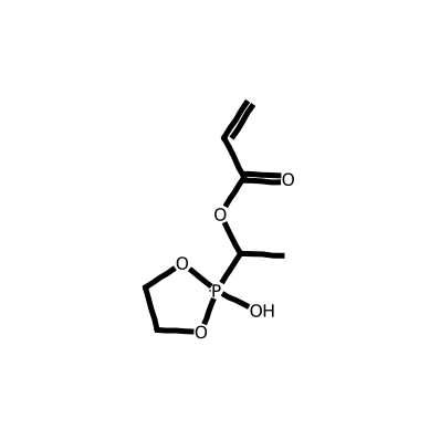 C=CC(=O)OC(C)[P]1(O)OCCO1